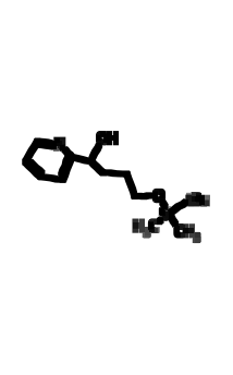 CC(C)(C)[Si](C)(C)OCCCC(O)c1ccccn1